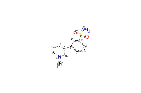 CCCN1CCC[C@@H](c2cccc(S(N)(=O)=O)c2)C1